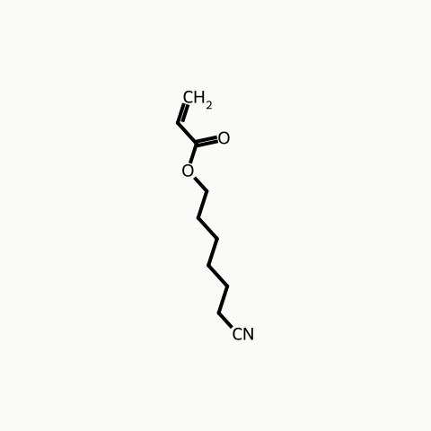 C=CC(=O)OCCCCCCC#N